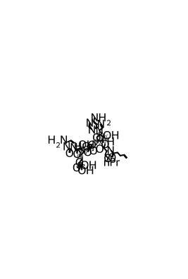 C=CCCC(=O)NC(COCCC)C(=O)O[C@H]1[C@@H](O)[C@H](n2cnc3c(N)ncnc32)O[C@@H]1COP(=O)(O)O[C@H]1[C@@H](O)[C@H](n2ccc(N)nc2=O)O[C@@H]1COP(=O)(O)O